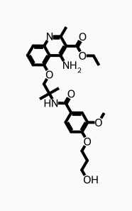 CCOC(=O)c1c(C)nc2cccc(OCC(C)(C)NC(=O)c3ccc(OCCCO)c(OC)c3)c2c1N